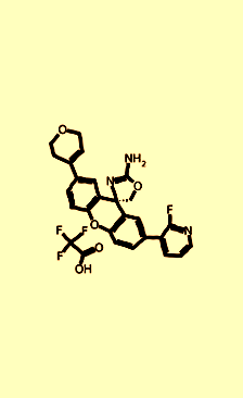 NC1=N[C@]2(CO1)c1cc(C3=CCOCC3)ccc1Oc1ccc(-c3cccnc3F)cc12.O=C(O)C(F)(F)F